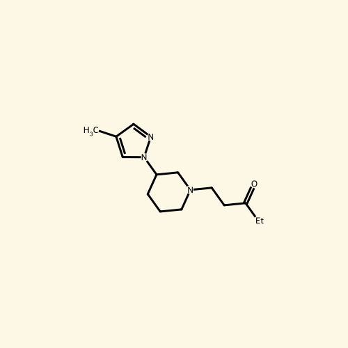 CCC(=O)CCN1CCCC(n2cc(C)cn2)C1